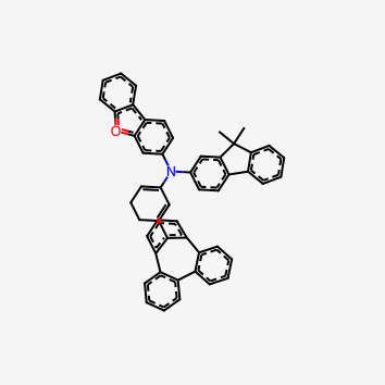 CC1(C)c2ccccc2-c2ccc(N(C3=CCCC(c4c5cccc4-c4ccccc4-c4ccccc4-5)=C3)c3ccc4c(c3)oc3ccccc34)cc21